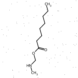 CCCCCCCC(=O)OCNC